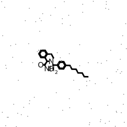 CCCCCCCc1ccc(C(=O)N2CCc3c[c]ccc3C2C(N)=O)cc1